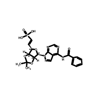 CC1(C)O[C@@H]2[C@H](O1)[C@@H](C=CP(=O)(O)O)O[C@H]2n1ncc2c(NC(=O)c3ccccc3)ncnc21